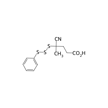 CC(C#N)(CCC(=O)O)SSSc1ccccc1